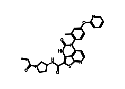 C=CC(=O)N1CC[C@@H](NC(=O)c2sc3nccc4c3c2NC(=O)N4c2ccc(Oc3ccccn3)cc2C)C1